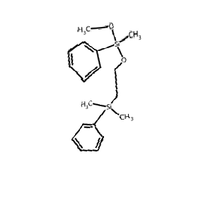 CO[Si](C)(OCC[Si](C)(C)c1ccccc1)c1ccccc1